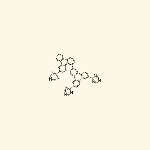 c1ccc2c(c1)c1cc(-c3ncncn3)ccc1c1c(-c3ccc4c5cc(-c6ncncn6)ccc5c5cc(-c6ncncn6)ccc5c4c3)cccc21